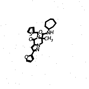 CC1(C(=O)NC2CCCCCC2)Cn2nc(-c3ccco3)cc2C(=O)N1Cc1cccs1